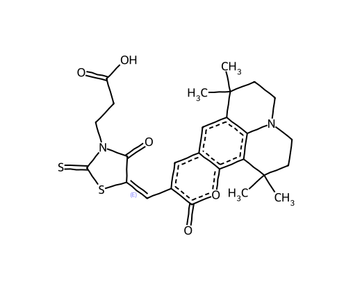 CC1(C)CCN2CCC(C)(C)c3c2c1cc1cc(/C=C2/SC(=S)N(CCC(=O)O)C2=O)c(=O)oc31